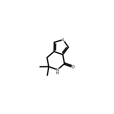 CC1(C)Cc2cscc2C(=O)N1